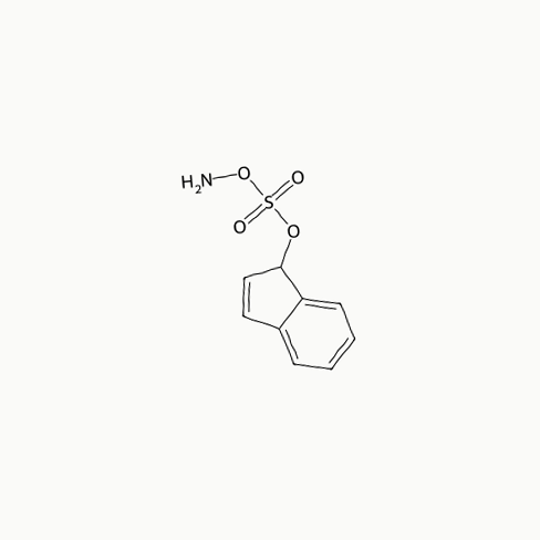 NOS(=O)(=O)OC1C=Cc2ccccc21